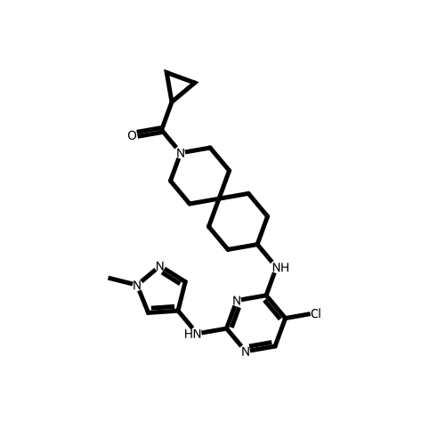 Cn1cc(Nc2ncc(Cl)c(NC3CCC4(CC3)CCN(C(=O)C3CC3)CC4)n2)cn1